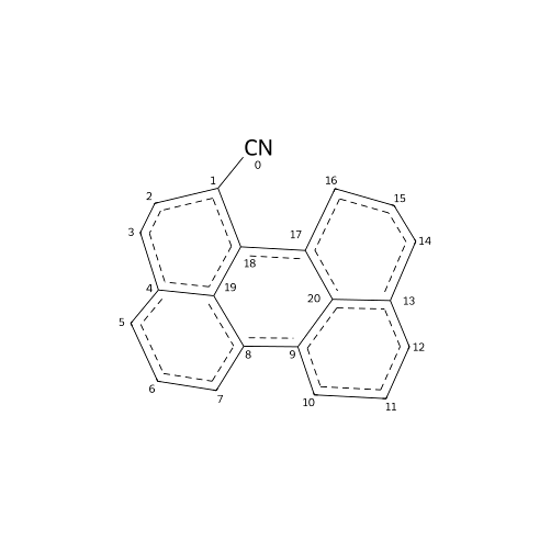 N#Cc1ccc2cccc3c4cccc5cccc(c1c23)c54